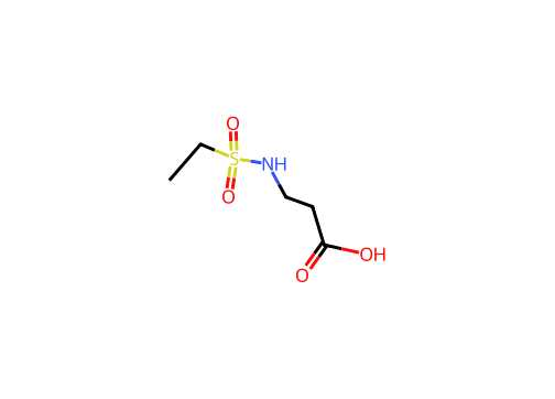 CCS(=O)(=O)NCCC(=O)O